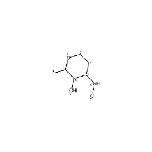 CC1OCCC(NCl)C1O